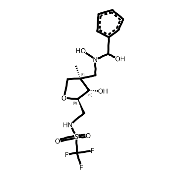 C[C@@]1(CN(O)C(O)c2ccccc2)CO[C@H](CNS(=O)(=O)C(F)(F)F)[C@H]1O